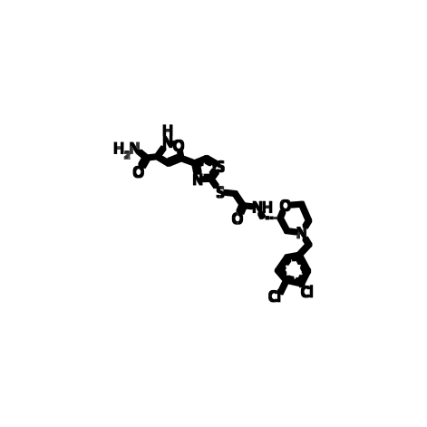 NC(=O)C1C=C(c2csc(SCC(=O)NC[C@H]3CN(Cc4ccc(Cl)c(Cl)c4)CCO3)n2)ON1